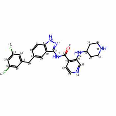 O=C(Nc1n[nH]c2ccc(Cc3cc(F)cc(F)c3)cc12)c1ccncc1NC1CCNCC1